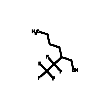 CCCCC(CO)C(F)(F)C(F)(F)F